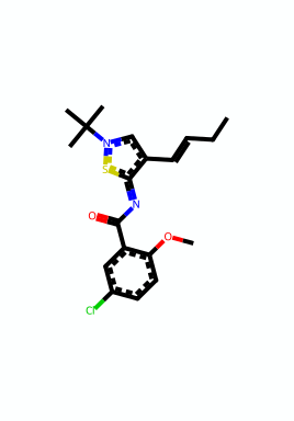 CCC=Cc1cn(C(C)(C)C)sc1=NC(=O)c1cc(Cl)ccc1OC